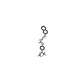 CC(C)=CC(c1ccc(OC(C)OCCOc2ccc3ccccc3c2)cc1)C(C)(C)C